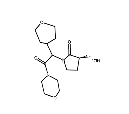 Cl.N[C@H]1CCN(C(C(=O)N2CCOCC2)C2CCOCC2)C1=O